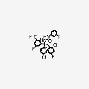 O=C(Nc1cccc(F)c1)N[C@@](Cc1ccc(F)cc1Cl)(c1cc(F)cc(C(F)(F)F)c1)c1ccc(Cl)cn1